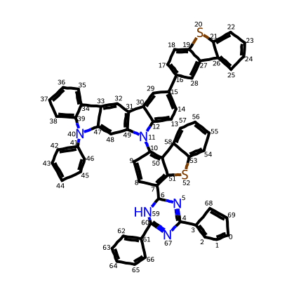 c1ccc(C2=NC(c3ccc(-n4c5ccc(-c6ccc7sc8ccccc8c7c6)cc5c5cc6c7ccccc7n(-c7ccccc7)c6cc54)c4c3sc3ccccc34)NC(c3ccccc3)=N2)cc1